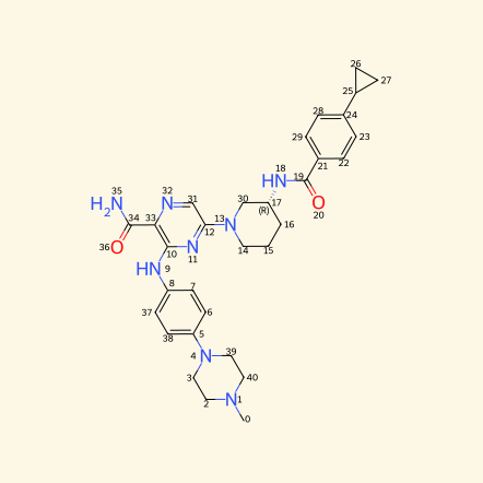 CN1CCN(c2ccc(Nc3nc(N4CCC[C@@H](NC(=O)c5ccc(C6CC6)cc5)C4)cnc3C(N)=O)cc2)CC1